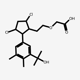 Cc1cc(C2C(Cl)CC(Cl)C2CCOCC(=O)O)cc(C(C)(C)O)c1C